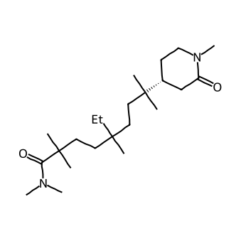 CCC(C)(CCC(C)(C)C(=O)N(C)C)CCC(C)(C)[C@@H]1CCN(C)C(=O)C1